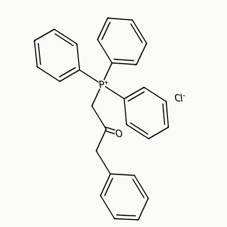 O=C(Cc1ccccc1)C[P+](c1ccccc1)(c1ccccc1)c1ccccc1.[Cl-]